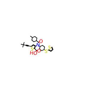 CC1CCC(C(=O)N(c2cc(C#CC(C)(C)C)sc2C(=O)O)C2CCC(Sc3cccs3)CC2)CC1